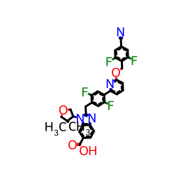 CC1(C)COCC1n1c(Cc2cc(F)c(-c3cccc(OCc4c(F)cc(C#N)cc4F)n3)cc2F)nc2ccc(C(=O)O)cc21